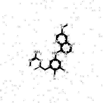 C/N=C(/N)S[C@H](C)Cc1cc(Nc2ncnc3cc(OC)cnc23)cc(F)c1F